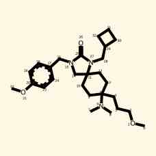 COCCCC1(N(C)C)CCC2(CC1)CN(Cc1ccc(OC)cc1)C(=O)N2CC1CCC1